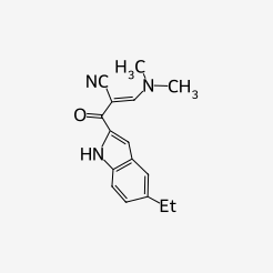 CCc1ccc2[nH]c(C(=O)C(C#N)=CN(C)C)cc2c1